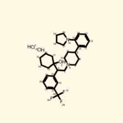 Cl.Cl.OC1(C(CN2CCC(c3ccccc3N3CCCC3)CC2)c2cccc(C(F)(F)F)c2)CCCCC1